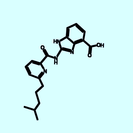 CC(C)CCCc1cccc(C(=O)Nc2nc3c(C(=O)O)cccc3[nH]2)n1